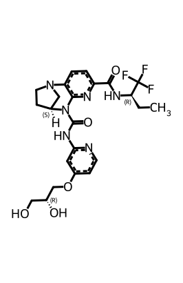 CC[C@@H](NC(=O)c1ccc2c(n1)N(C(=O)Nc1cc(OC[C@H](O)CO)ccn1)[C@H]1CCN2C1)C(F)(F)F